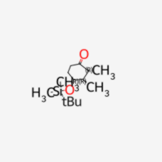 C[C@H]1[C@H](O[Si](C)(C)C(C)(C)C)CCC(=O)[C@@H]1C